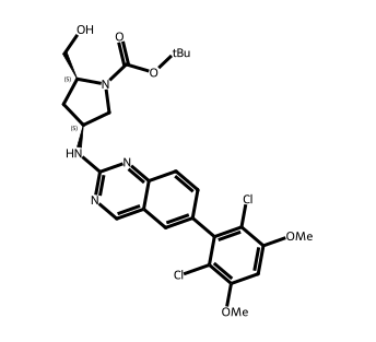 COc1cc(OC)c(Cl)c(-c2ccc3nc(N[C@H]4C[C@@H](CO)N(C(=O)OC(C)(C)C)C4)ncc3c2)c1Cl